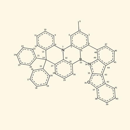 Cc1cc2c3c(c1)N1c4ccccc4C(c4ccccc4)(c4ccccc4)c4cccc(c41)B3n1c3oc4ccccc4c3c3cccc-2c31